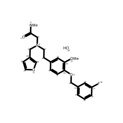 CNC(=O)CN(CCc1ccc(OCc2cccc(F)c2)c(OC)c1)Cc1ccoc1.Cl